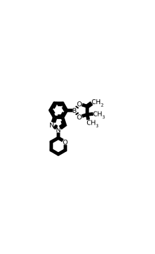 C=C1OB(c2cccc3nn(C4CCCCO4)cc23)OC1(C)C